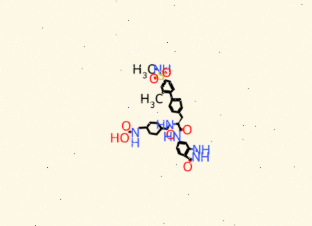 CNS(=O)(=O)c1ccc(-c2ccc(C[C@H](NC(=O)C3CCC(CNC(=O)O)CC3)C(=O)Nc3ccc4c(=O)[nH][nH]c4c3)cc2)c(C)c1